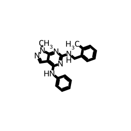 Cc1ccccc1CNc1nc(Nc2ccccc2)c2cnn(C)c2n1